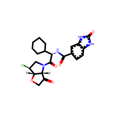 O=C(N[C@H](C(=O)N1C[C@H](Cl)[C@H]2OCC(=O)[C@H]21)C1CCCCC1)c1ccc2[nH]c(=O)[nH]c2c1